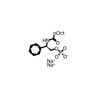 CCCCCCCCC(=O)N[C@@H](COP(=O)([O-])[O-])c1ccccc1.[Na+].[Na+]